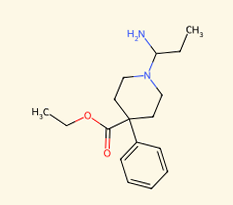 CCOC(=O)C1(c2ccccc2)CCN(C(N)CC)CC1